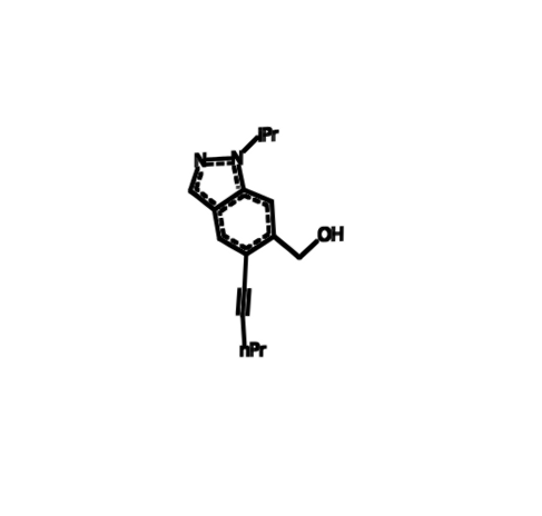 CCCC#Cc1cc2cnn(C(C)C)c2cc1CO